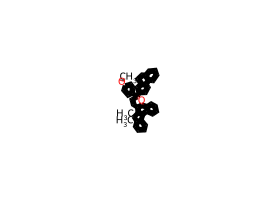 COc1ccc(C2(c3ccc4c(ccc5ccccc54)c3)C=Cc3c4c(c5ccccc5c3O2)-c2ccccc2C4(C)C)cc1